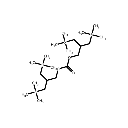 C[Si](C)(C)CC(COC(=O)OCC(C[Si](C)(C)C)C[Si](C)(C)C)C[Si](C)(C)C